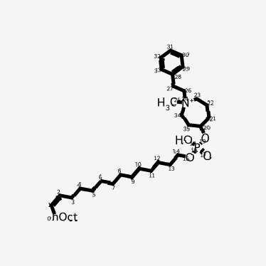 CCCCCCCC/C=C\CCCCCCCCCCCCOP(=O)(O)OC1CCC[N+](C)(CCc2ccccc2)CC1